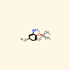 CC1C=C(N)C(O[Si](C)(C)C)=CC1